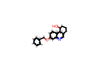 OC1CCCc2cnc3cc(OCc4ccccc4)ccc3c21